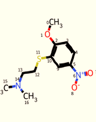 COc1ccc([N+](=O)[O-])cc1SCCN(C)C